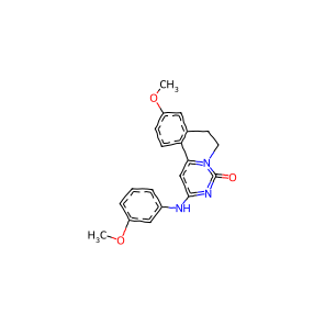 COc1cccc(Nc2cc3n(c(=O)n2)CCc2cc(OC)ccc2-3)c1